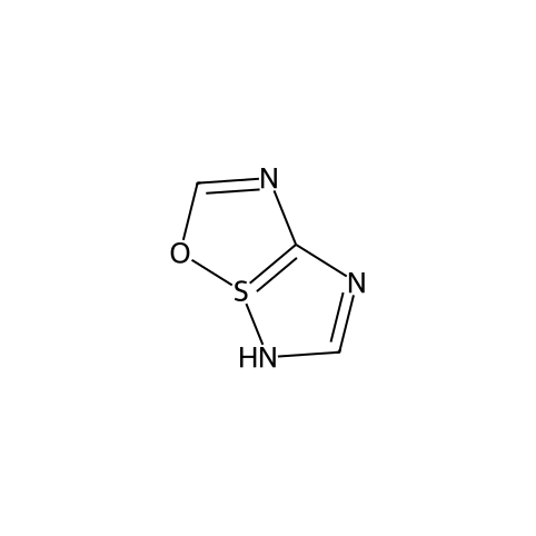 C1=NC2=S(N1)OC=N2